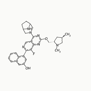 C[C@@H]1C[C@@H](COc2nc(N3CC4CCC(C3)N4)c3cnc(-c4cc(O)cc5ccccc45)c(F)c3n2)N(C)C1